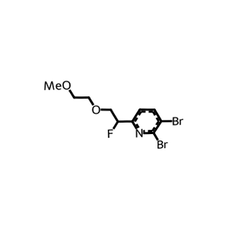 COCCOCC(F)c1ccc(Br)c(Br)n1